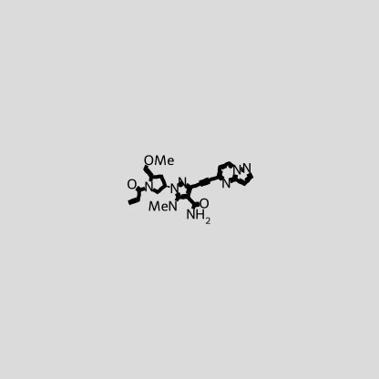 C=CC(=O)N1C[C@@H](n2nc(C#Cc3ccn4nccc4n3)c(C(N)=O)c2NC)C/C1=C\OC